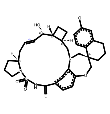 O=C1NS(=O)(=O)N2CCC[C@H]2C/C=C/[C@H](O)[C@@H]2CC[C@H]2CN2C[C@@]3(CCCc4cc(Cl)ccc43)COc3ccc1cc32